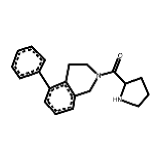 O=C(C1CCCN1)N1CCc2c(cccc2-c2ccccc2)C1